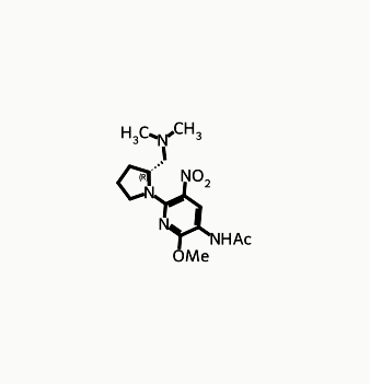 COc1nc(N2CCC[C@@H]2CN(C)C)c([N+](=O)[O-])cc1NC(C)=O